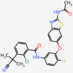 CC(=O)Nc1nc2ccc(Oc3cc(NC(=O)c4cccc(C(C)(C)C#N)c4Cl)ccc3F)cc2s1